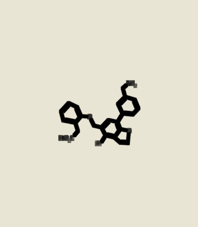 CCOC(=O)Cc1ccccc1OCc1cc(-c2cccc(CN)c2)c2occc2c1C(C)C